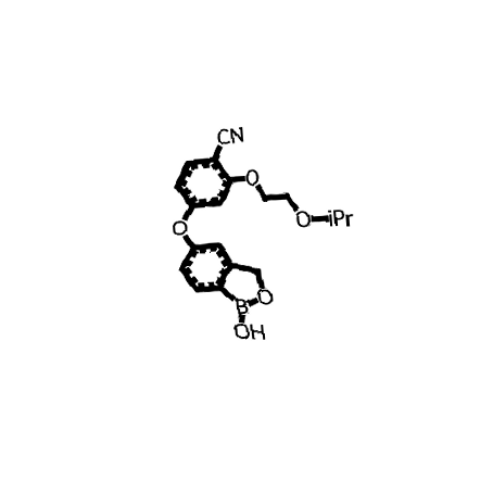 CC(C)OCCOc1cc(Oc2ccc3c(c2)COB3O)ccc1C#N